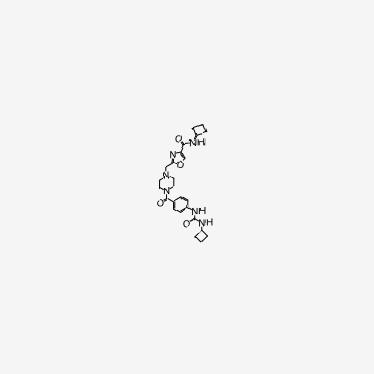 O=C(Nc1ccc(C(=O)N2CCN(Cc3nc(C(=O)NC4CCC4)co3)CC2)cc1)NC1CCC1